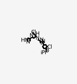 CC(C)Oc1ccc(-n2cc(CNc3cc(Cl)nc(-c4cn[nH]c4)c3)nn2)cc1Cl